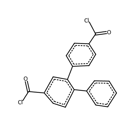 O=C(Cl)c1ccc(-c2cc(C(=O)Cl)ccc2-c2ccccc2)cc1